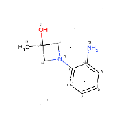 CC1(O)CN(c2ccccc2N)C1